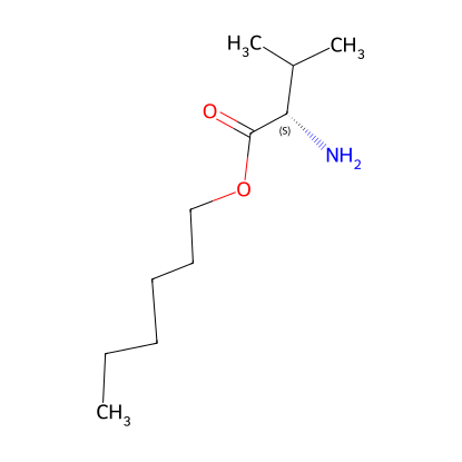 CCCCCCOC(=O)[C@@H](N)C(C)C